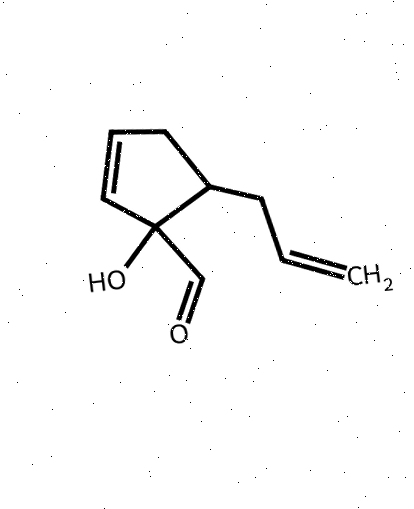 C=CCC1CC=CC1(O)C=O